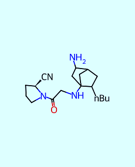 CCCCC1CC2CC1(NCC(=O)N1CCC[C@H]1C#N)CC2N